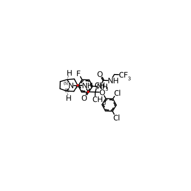 CC(C)(Oc1ccc(Cl)cc1Cl)C(=O)N[C@H]1C[C@H]2CC[C@@H](C1)N2c1ccc(NC(=O)NCC(F)(F)F)cc1F